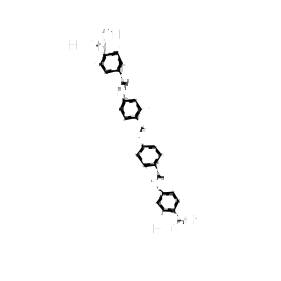 CN(C)c1ccc(N=Nc2ccc(SSc3ccc(N=Nc4ccc(N(C)C)cc4)cc3)cc2)cc1